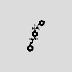 O=C(/C=C/c1ccccc1)Nc1ccc(NC(=O)Nc2ccccc2)cc1